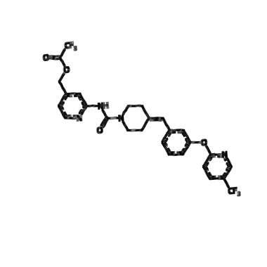 O=C(Nc1cc(COC(=O)C(F)(F)F)ccn1)N1CCC(=Cc2cccc(Oc3ccc(C(F)(F)F)cn3)c2)CC1